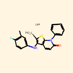 Cc1cc(Nc2c(C(=O)O)sc3c2ccc(=O)n3-c2ccccc2)ccc1F.[LiH]